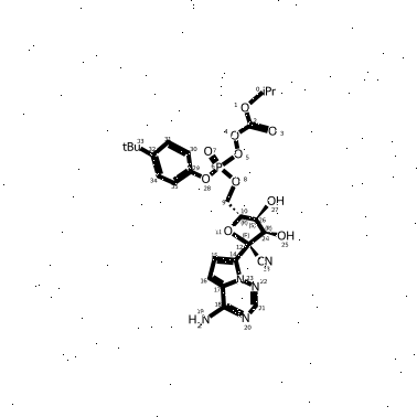 CC(C)OC(=O)OOP(=O)(OC[C@H]1O[C@@](C#N)(c2ccc3c(N)ncnn23)[C@H](O)[C@@H]1O)Oc1ccc(C(C)(C)C)cc1